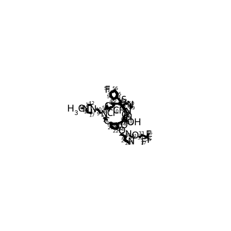 Cc1c2ccc(c1Cl)N(CCN1CCN(C)CC1)CCc1ccc(OCc3ccnc(OCCC(F)(F)F)n3)c(c1)C[C@H](C(=O)O)Oc1ncnc3sc(-c4ccc(F)cc4)c-2c13